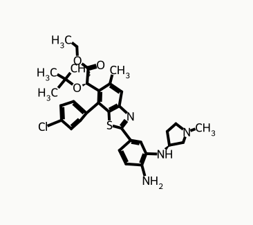 CCOC(=O)[C@@H](OC(C)(C)C)c1c(C)cc2nc(-c3ccc(N)c(N[C@H]4CCN(C)C4)c3)sc2c1-c1ccc(Cl)cc1